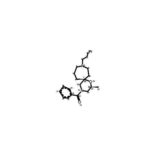 CC(C)CCN1CCC[C@]2(CC1)CN(C(=O)c1ccccc1)C[C@H](C)O2